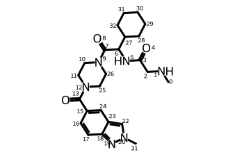 CNCC(=O)NC(C(=O)N1CCN(C(=O)c2ccc3nn(C)cc3c2)CC1)C1CCCCC1